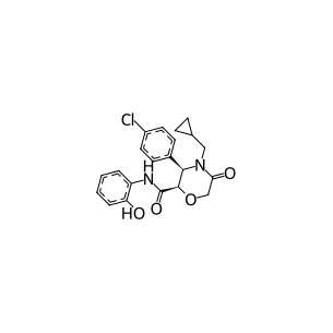 O=C(Nc1ccccc1O)[C@@H]1OCC(=O)N(CC2CC2)[C@@H]1c1ccc(Cl)cc1